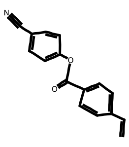 C=Cc1ccc(C(=O)Oc2ccc(C#N)cc2)cc1